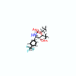 CC(C)(C)C(O[Si](C)(C)C(C)(C)C)[C@H](O)[C@H](NC(=O)O)c1ccc(C(F)(F)F)cc1